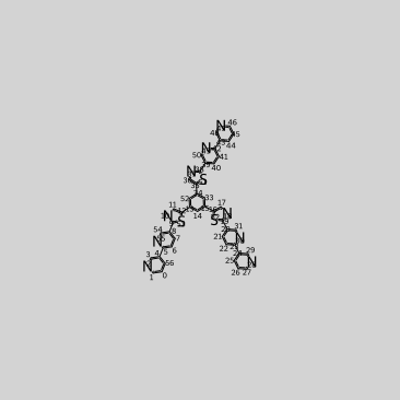 c1cncc(-c2ccc(-c3ncc(-c4cc(-c5cnc(-c6ccc(-c7cccnc7)nc6)s5)cc(-c5cnc(-c6ccc(-c7cccnc7)nc6)s5)c4)s3)cn2)c1